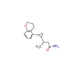 CC(CC(N)=O)C1CC1c1cccc2c1CCCO2